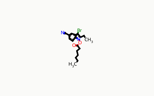 CCCCCCC(=O)On1c(CC)c(Br)c2cc(C#N)ccc21